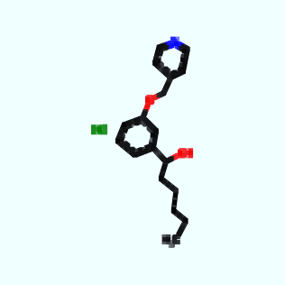 CCCCCC(O)c1cccc(OCc2ccncc2)c1.Cl